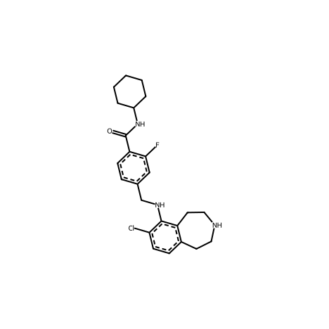 O=C(NC1CCCCC1)c1ccc(CNc2c(Cl)ccc3c2CCNCC3)cc1F